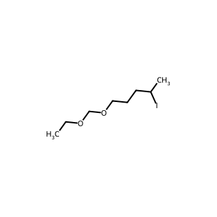 CCOCOCCCC(C)I